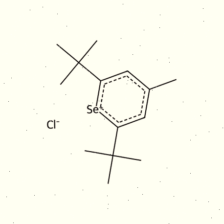 Cc1cc(C(C)(C)C)[se+]c(C(C)(C)C)c1.[Cl-]